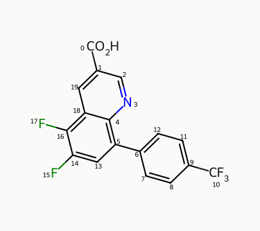 O=C(O)c1cnc2c(-c3ccc(C(F)(F)F)cc3)cc(F)c(F)c2c1